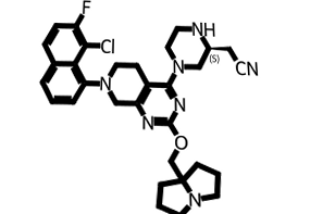 N#CC[C@H]1CN(c2nc(OCC34CCCN3CCC4)nc3c2CCN(c2cccc4ccc(F)c(Cl)c24)C3)CCN1